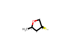 CC1CC(=S)CO1